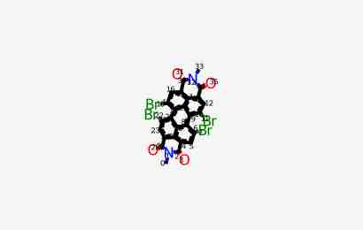 CN1C(=O)c2cc(Br)c3c4c(Br)cc5c6c(cc(Br)c(c7c(Br)cc(c2c37)C1=O)c64)C(=O)N(C)C5=O